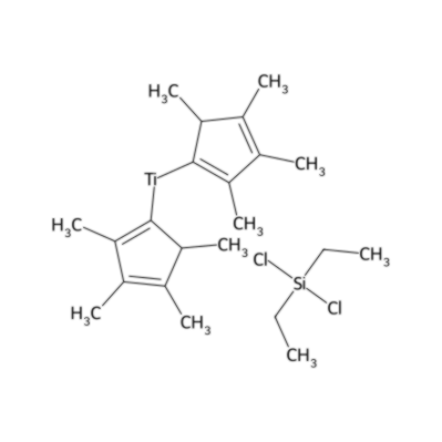 CC1=C(C)C(C)[C]([Ti][C]2=C(C)C(C)=C(C)C2C)=C1C.CC[Si](Cl)(Cl)CC